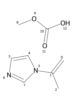 C=C(C)n1ccnc1.COC(=O)O